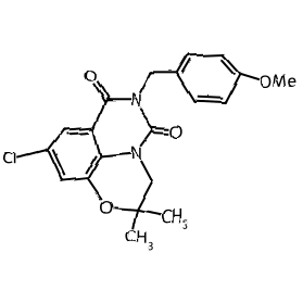 COc1ccc(Cn2c(=O)c3cc(Cl)cc4c3n(c2=O)CC(C)(C)O4)cc1